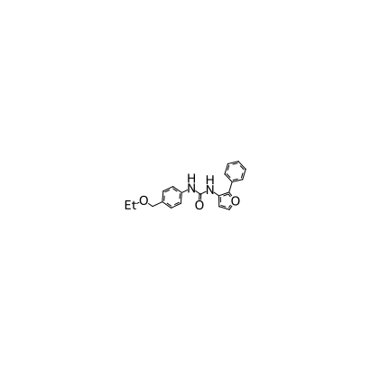 CCOCc1ccc(NC(=O)Nc2ccoc2-c2ccccc2)cc1